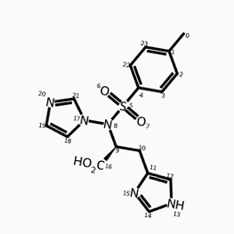 Cc1ccc(S(=O)(=O)N([C@@H](Cc2c[nH]cn2)C(=O)O)n2ccnc2)cc1